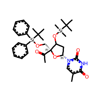 CC(=O)[C@]1(CO[Si](c2ccccc2)(c2ccccc2)C(C)(C)C)O[C@@H](n2cc(C)c(=O)[nH]c2=O)CC1O[Si](C)(C)C(C)(C)C